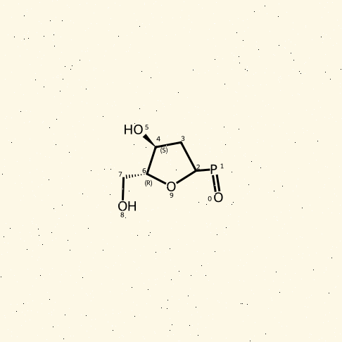 O=PC1C[C@H](O)[C@@H](CO)O1